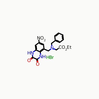 Br.CCOC(=O)CN(Cc1ccccc1)Cc1cc([N+](=O)[O-])cc2[nH]c(=O)c(=O)[nH]c12